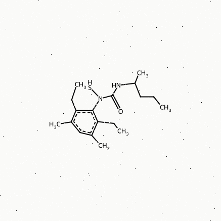 CCCC(C)NC(=O)N(S)c1c(CC)c(C)cc(C)c1CC